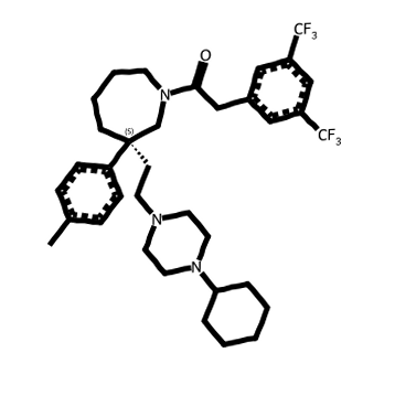 Cc1ccc([C@@]2(CCN3CCN(C4CCCCC4)CC3)CCCCN(C(=O)Cc3cc(C(F)(F)F)cc(C(F)(F)F)c3)C2)cc1